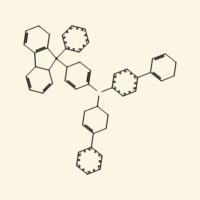 C1=CC2C3=C(CCC=C3)C(c3ccccc3)(C3C=CC(N(c4ccc(C5=CCCC=C5)cc4)C4CC=C(c5ccccc5)CC4)=CC3)C2C=C1